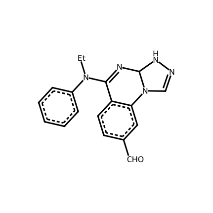 CCN(C1=NC2NN=CN2c2cc(C=O)ccc21)c1ccccc1